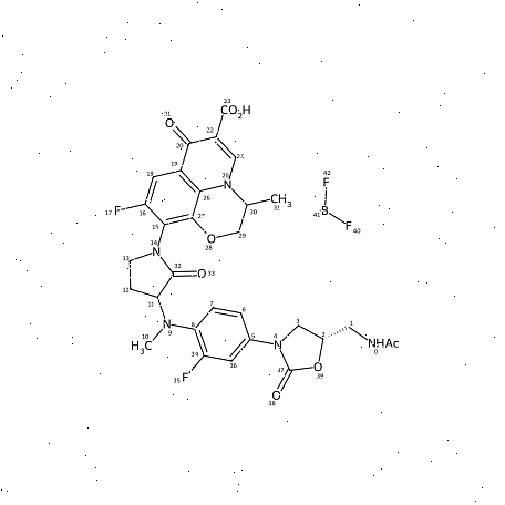 CC(=O)NC[C@H]1CN(c2ccc(N(C)C3CCN(c4c(F)cc5c(=O)c(C(=O)O)cn6c5c4OCC6C)C3=O)c(F)c2)C(=O)O1.F[B]F